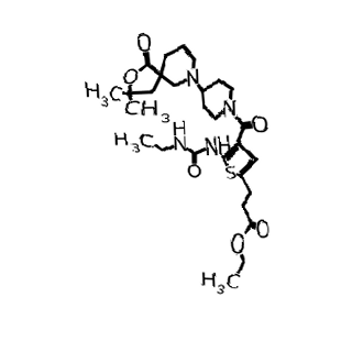 CCNC(=O)Nc1sc(CCC(=O)OCC)cc1C(=O)N1CCC(N2CCCC3(C2)CC(C)(C)OC3=O)CC1